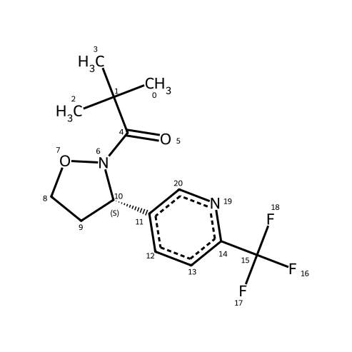 CC(C)(C)C(=O)N1OCC[C@H]1c1ccc(C(F)(F)F)nc1